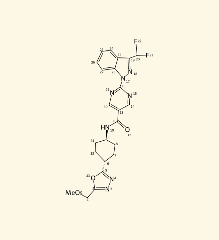 COCc1nnc([C@H]2CC[C@H](NC(=O)c3cnc(-n4nc(C(F)F)c5ccccc54)nc3)CC2)o1